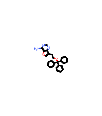 Nc1ncnc2c(CCOC(c3ccccc3)(c3ccccc3)c3ccccc3)coc12